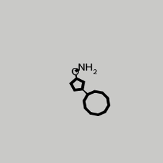 NO[C@@H]1CC[C@H](C2CCCCCCCCC2)C1